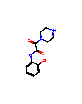 O=C(Nc1ccccc1O)C(=O)N1CCNCC1